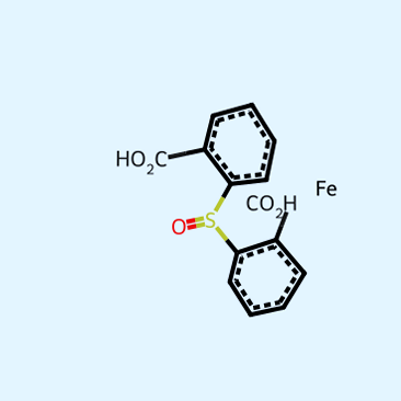 O=C(O)c1ccccc1S(=O)c1ccccc1C(=O)O.[Fe]